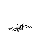 COC(=O)NC1CCC(C)(C(=O)c2nc3cc(Cl)c(N4CCN(CCO)CC4C)cc3[nH]2)CC1